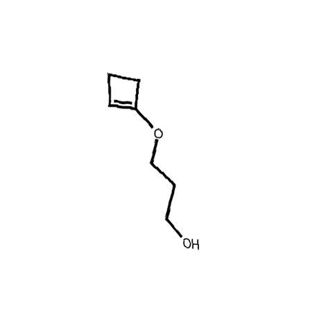 OCCCOC1=CCC1